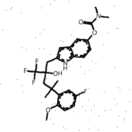 COc1ccc(F)cc1C(C)(C)CC(O)(Cc1cc2cc(OC(=O)N(C)C)ccc2[nH]1)C(F)(F)F